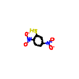 O=[N+]([O-])c1ccc([N+](=O)[O-])c(S)c1